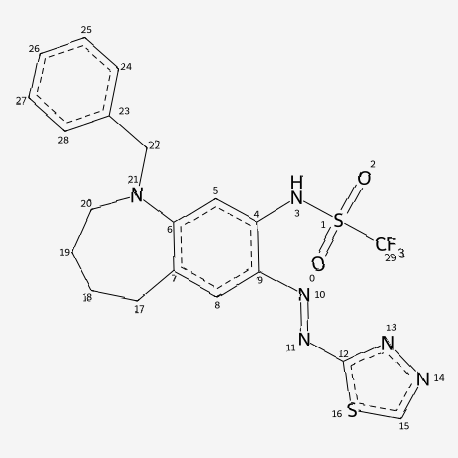 O=S(=O)(Nc1cc2c(cc1N=Nc1nncs1)CCCCN2Cc1ccccc1)C(F)(F)F